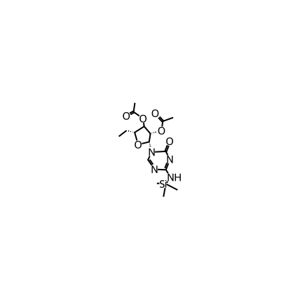 CC[C@H]1O[C@@H](n2cnc(N[Si](C)(C)C)nc2=O)[C@@H](OC(C)=O)C1OC(C)=O